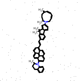 C=C1/C=C\C=C/CN(c2ccc3c(c2)C(C)(C)c2cc(/C=C/c4ccc5ccc6c(N7c8ccccc8CCC7C)ccc7ccc4c5c76)ccc2-3)C(C)CC1